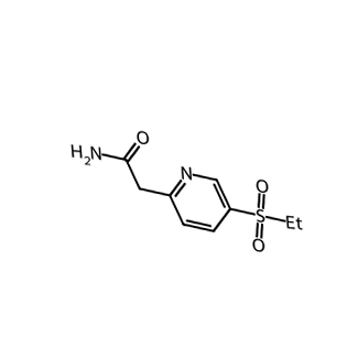 CCS(=O)(=O)c1ccc(CC(N)=O)nc1